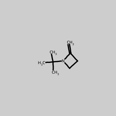 C=C1CCN1C(C)(C)C